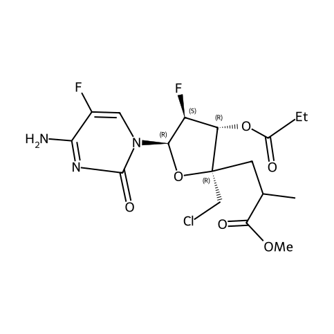 CCC(=O)O[C@H]1[C@H](F)[C@H](n2cc(F)c(N)nc2=O)O[C@]1(CCl)CC(C)C(=O)OC